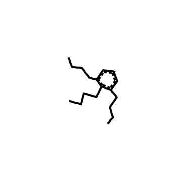 CCCCc1c[c]cc(CCCC)c1CCCC